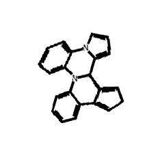 C1=C2C(=CC1)C1c3cccn3-c3ccccc3N1c1ccccc12